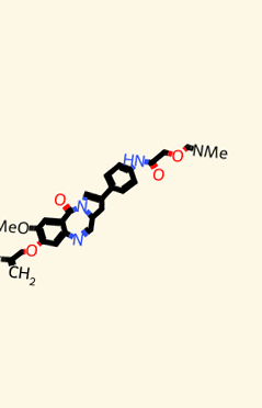 C=C(CCC)COc1cc2c(cc1OC)C(=O)N1C=C(c3ccc(NC(=O)COCNC)cc3)CC1C=N2